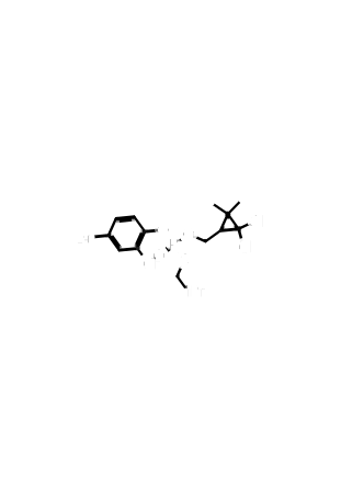 CC(C)CSP(=O)(OCC1C(C)(C)C1(Cl)Cl)Oc1ccc(Br)cc1Cl